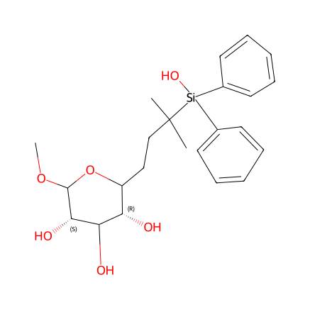 COC1OC(CCC(C)(C)[Si](O)(c2ccccc2)c2ccccc2)[C@H](O)C(O)[C@@H]1O